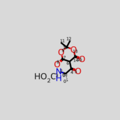 C[C@H](NC(=O)O)C(=O)C1C(=O)OC(C)(C)OC1=O